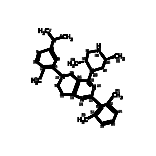 Cc1ccc(C(C)C)cc1N1CCc2nc(-c3c(C)cccc3C)nc(N3C[C@H](C)NC[C@H]3C)c2C1